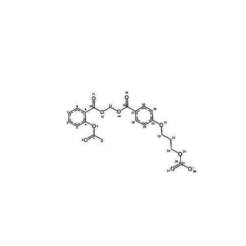 CC(=O)Oc1ccccc1C(=O)OCOC(=O)c1ccc(OCCCO[N+](=O)[O-])cc1